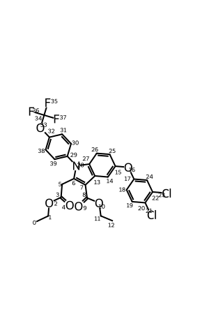 CCOC(=O)Cc1c(C(=O)OCC)c2cc(Oc3ccc(Cl)c(Cl)c3)ccc2n1-c1ccc(OC(F)(F)F)cc1